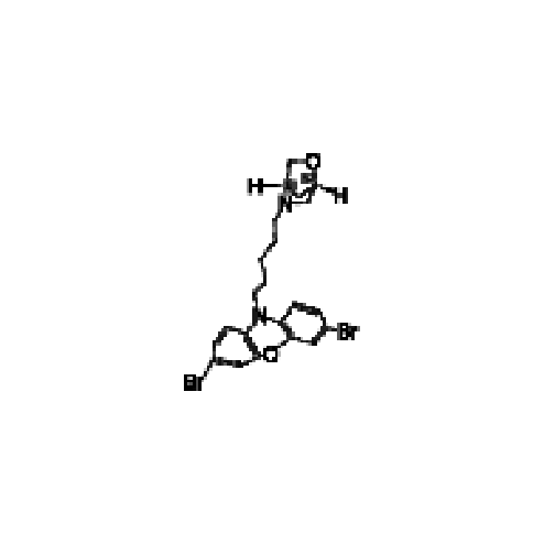 Brc1ccc2c(c1)Oc1cc(Br)ccc1N2CCCCCN1C[C@@H]2C[C@H]1CO2